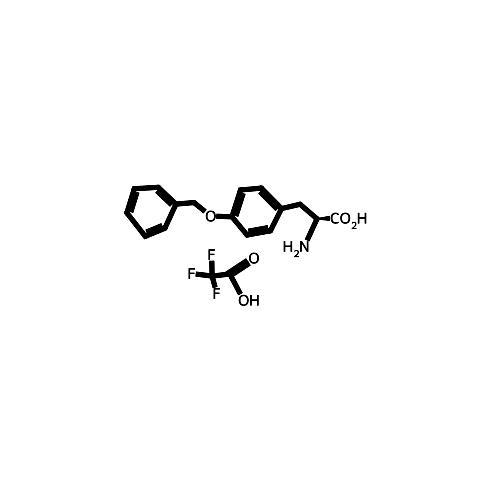 N[C@@H](Cc1ccc(OCc2ccccc2)cc1)C(=O)O.O=C(O)C(F)(F)F